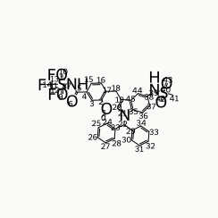 COc1cc(C(=O)NS(=O)(=O)C(F)(F)F)ccc1Cc1cn(C(c2ccccc2)c2ccccc2)c2ccc(NS(C)(=O)=O)cc12